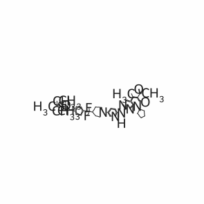 CC(=O)c1c(C)c2cnc(Nc3ccc(N4CCC(C(F)(F)c5ccc(CO[Si](C)(C)C(C)(C)C)cc5)CC4)cn3)nc2n(C2CCCC2)c1=O